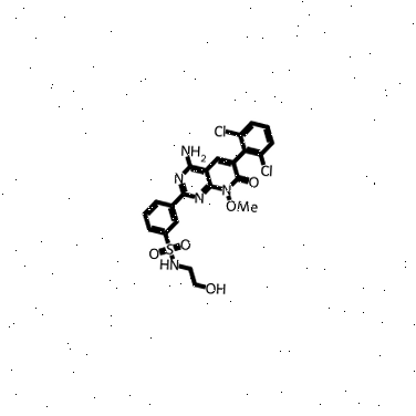 COn1c(=O)c(-c2c(Cl)cccc2Cl)cc2c(N)nc(-c3cccc(S(=O)(=O)NCCO)c3)nc21